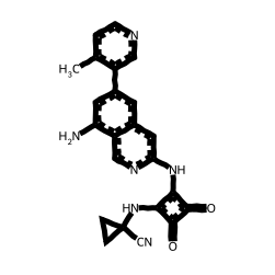 Cc1ccncc1-c1cc(N)c2cnc(Nc3c(NC4(C#N)CC4)c(=O)c3=O)cc2c1